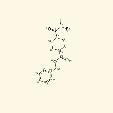 CC(Br)C(=O)C1CCN(C(=O)OCc2ccccc2)CC1